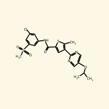 Cc1sc(C(=O)Nc2cc(Cl)cc(S(C)(=O)=O)c2)cc1-c1ncc(OC(C)C)cn1